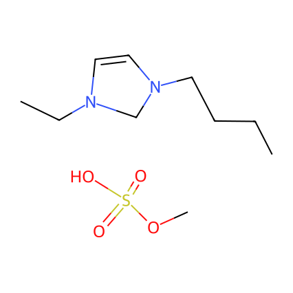 CCCCN1C=CN(CC)C1.COS(=O)(=O)O